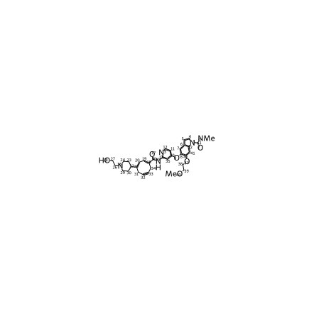 CNC(=O)n1ccc2cc(Oc3ccnc(NC(=O)/C4=C/C=C(/C5CCN(CCO)CC5)CC#CC4)c3)c(OCCOC)cc21